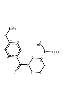 CCCCN(C(=O)O)[C@@H]1CCCN(C(=O)c2ccc(CNC)cc2)C1